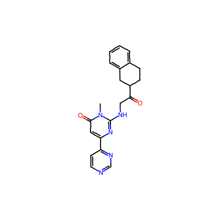 Cn1c(NCC(=O)C2CCc3ccccc3C2)nc(-c2ccncn2)cc1=O